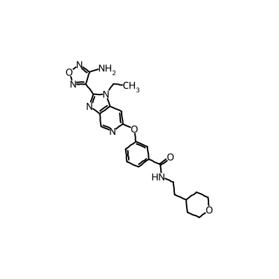 CCn1c(-c2nonc2N)nc2cnc(Oc3cccc(C(=O)NCCC4CCOCC4)c3)cc21